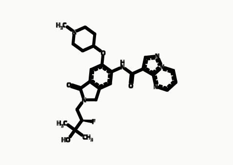 CN1CCC(Oc2cc3c(cc2NC(=O)c2cnn4cccnc24)CN(C[C@@H](F)C(C)(C)O)C3=O)CC1